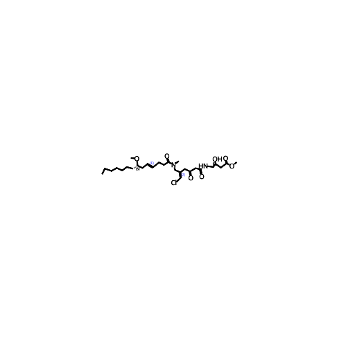 CCCCCCC[C@@H](C/C=C/CCC(=O)N(C)C/C(=C\Cl)CC(=O)CC(=O)NC[C@H](O)CC(=O)OC)OC